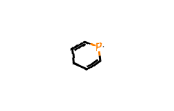 C1=C[P]C=CC1